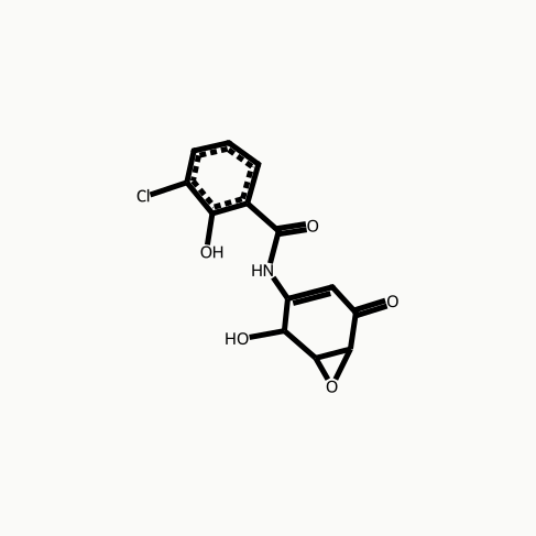 O=C(NC1=CC(=O)C2OC2C1O)c1cccc(Cl)c1O